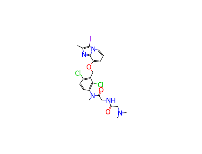 Cc1nc2c(OCc3c(Cl)ccc(N(C)C(=O)CNC(=O)CN(C)C)c3Cl)cccn2c1I